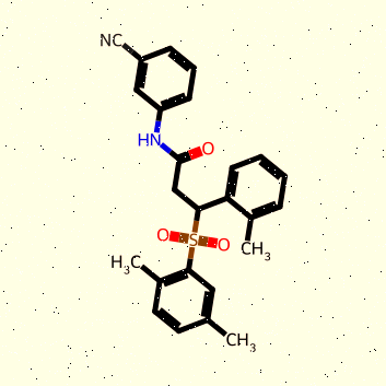 Cc1ccc(C)c(S(=O)(=O)C(CC(=O)Nc2cccc(C#N)c2)c2ccccc2C)c1